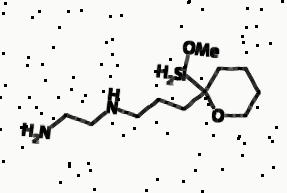 CO[SiH2]C1(CCCNCCN)CCCCO1